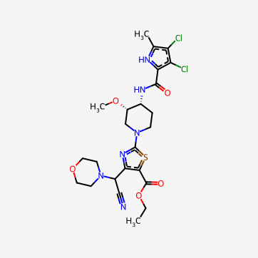 CCOC(=O)c1sc(N2CC[C@@H](NC(=O)c3[nH]c(C)c(Cl)c3Cl)[C@@H](OC)C2)nc1C(C#N)N1CCOCC1